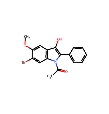 COc1cc2c(O)c(-c3ccccc3)n(C(C)=O)c2cc1Br